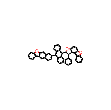 c1ccc(C2c3c(ccc4oc5ccccc5c34)OC2c2c3ccccc3c(-c3ccc4cc5c(cc4c3)oc3ccccc35)c3ccccc23)cc1